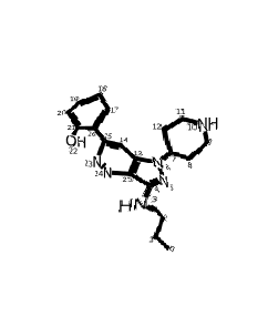 CCCNc1nn(C2CCNCC2)c2cc(-c3ccccc3O)nnc12